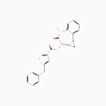 CN1C(=O)[C@H](NC(=O)c2cc(Cc3ccccc3)on2)[C@@H]2CC2c2ccccc21